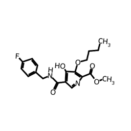 CCCCOc1c(C(=O)OC)ncc(C(=O)NCc2ccc(F)cc2)c1O